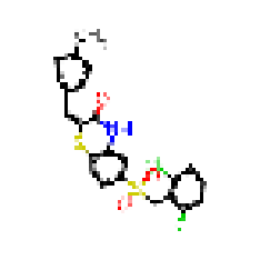 Cc1ccc(/C=C2/Sc3ccc(S(=O)(=O)Cc4c(Cl)cccc4Cl)cc3NC2=O)cc1